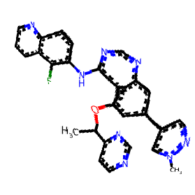 CC(Oc1cc(-c2cnn(C)c2)cc2ncnc(Nc3ccc4ncccc4c3F)c12)c1ccncn1